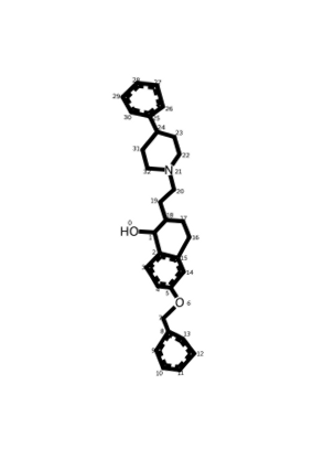 OC1c2ccc(OCc3ccccc3)cc2CCC1CCN1CCC(c2ccccc2)CC1